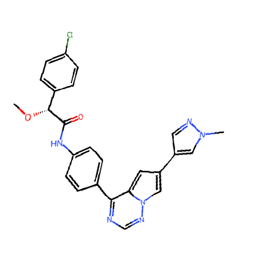 CO[C@@H](C(=O)Nc1ccc(-c2ncnn3cc(-c4cnn(C)c4)cc23)cc1)c1ccc(Cl)cc1